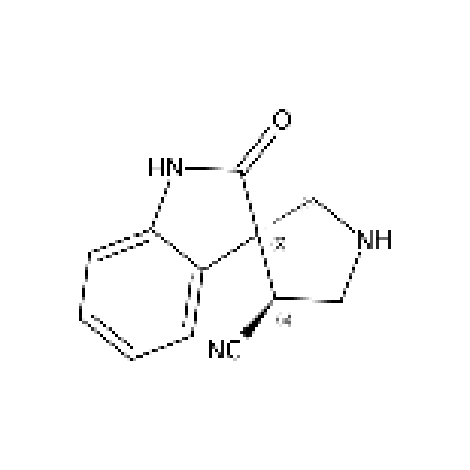 N#C[C@@H]1CNC[C@]12C(=O)Nc1ccccc12